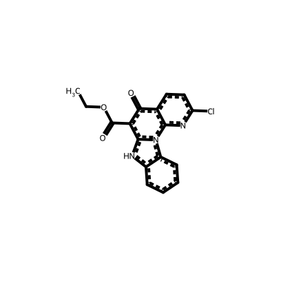 CCOC(=O)c1c(=O)c2ccc(Cl)nc2n2c1[nH]c1ccccc12